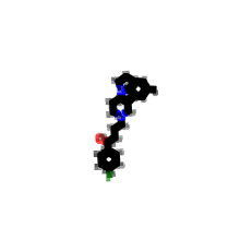 Cc1cc2c3c(c1)c1c(n3CC2)CCN(CCCC(=O)c2ccc(F)cc2)C1